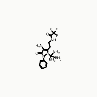 BC(B)(B)n1c(CCNC(=O)C(F)(F)F)c(N)c(=O)n1-c1ccccc1